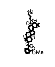 COC(=O)c1ccccc1C(=O)O[C@H]1CC[C@]2(C)[C@H]3CCC4=C5CC(C)(C)CC[C@]5(C(=O)NCCC[N+](C)(C)C)CC[C@@]4(C)[C@]3(C)CC[C@H]2C1(C)C